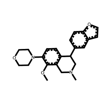 COc1c(N2CCOCC2)ccc2c1CN(C)CC2c1ccc2occc2c1